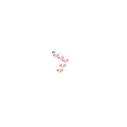 O.O.O.O.O.[Pr]